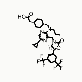 CCCN(C[C@H]1CC[C@H](CC(=O)O)CC1)c1ncc(C2CC2)nc1CN1C(=O)OC(C2=CC(C(F)(F)F)=CC(C(F)(F)F)C2)[C@@H]1C